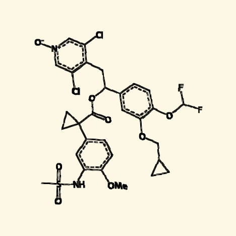 COc1ccc(C2(C(=O)OC(Cc3c(Cl)c[n+]([O-])cc3Cl)c3ccc(OC(F)F)c(OCC4CC4)c3)CC2)cc1NS(C)(=O)=O